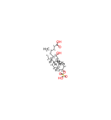 C[C@H](CCC(=O)O)[C@H]1CC[C@@H]2C1[C@@H](O)C[C@H]1[C@H]2CC[C@@H]2C[C@H](OS(=O)(=O)O)CC[C@@]21C